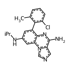 Cc1cccc(Cl)c1-c1cc(NC(C)C)cc2c1nc(N)c1cncn12